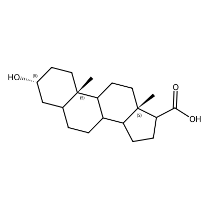 C[C@]12CC[C@@H](O)CC1CCC1C2CC[C@]2(C)C(C(=O)O)CCC12